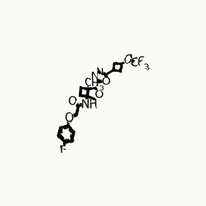 C[C@@]12CCC1(NC(=O)COc1ccc(F)cc1)CO[C@H]2c1nnc(C2CC(OC(F)(F)F)C2)o1